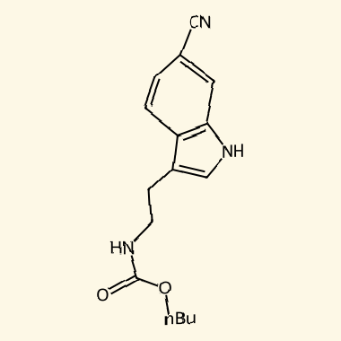 CCCCOC(=O)NCCc1c[nH]c2cc(C#N)ccc12